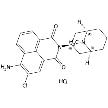 CN1[C@@H]2CCC[C@H]1C[C@@H](N1C(=O)c3cccc4c(N)c(Cl)cc(c34)C1=O)C2.Cl